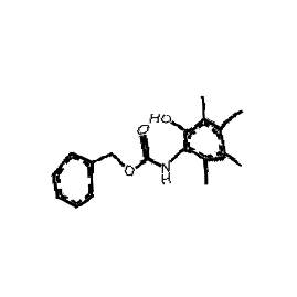 Cc1c(C)c(C)c(NC(=O)OCc2ccccc2)c(O)c1C